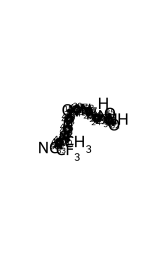 CC1CC2(CCN(c3ccc(C(=O)N4CCC(CN5CCN(c6cccc(N[C@H]7CCC(=O)NC7=O)c6)CC5)CC4)cc3)CC2)CN1c1ccc(C#N)c(C(F)(F)F)c1